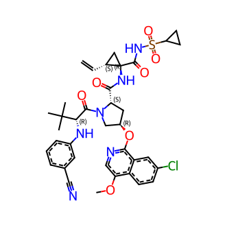 C=C[C@@H]1C[C@]1(NC(=O)[C@@H]1C[C@@H](Oc2ncc(OC)c3ccc(Cl)cc23)CN1C(=O)[C@H](Nc1cccc(C#N)c1)C(C)(C)C)C(=O)NS(=O)(=O)C1CC1